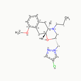 CCCN1C[C@H](Cn2cc(Cl)cn2)O[C@@H]2Cc3c(cccc3OC)C[C@H]21